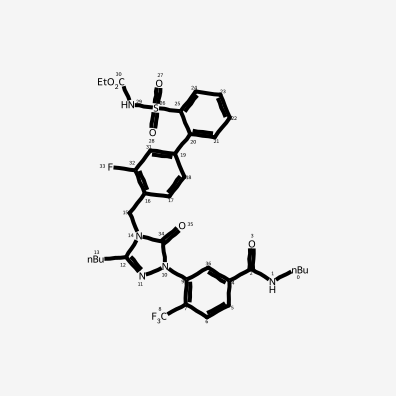 CCCCNC(=O)c1ccc(C(F)(F)F)c(-n2nc(CCCC)n(Cc3ccc(-c4ccccc4S(=O)(=O)NC(=O)OCC)cc3F)c2=O)c1